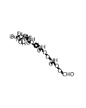 CCC(C)C(C(CC)OC)N(C)C(=O)CNC(=O)C(C)(C)NC(=O)OCc1ccc(NC(=O)CCOCCOCCNC(=O)CCOCCOCCC=O)cc1